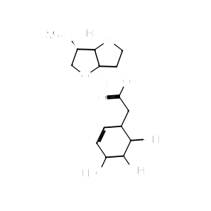 CO[C@@H]1CO[C@H]2[C@@H]1OC[C@@H]2OC(=O)CC1C=CC(C)C(C)C1C